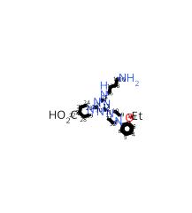 CCOc1ccccc1N1CCN(c2nc(NCCCCN)nc(N3CCC(C(=O)O)CC3)n2)CC1